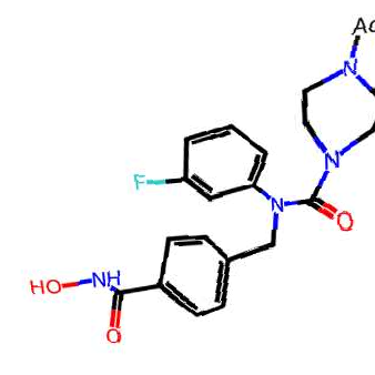 CC(=O)N1CCN(C(=O)N(Cc2ccc(C(=O)NO)cc2)c2cccc(F)c2)CC1